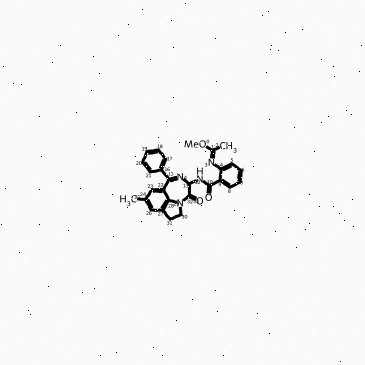 CO/C(C)=N/c1ccccc1C(=O)NC1N=C(c2ccccc2)c2cc(C)cc3c2N(CC3)C1=O